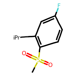 CC(C)c1cc(F)ccc1S(C)(=O)=O